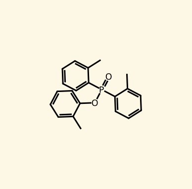 Cc1ccccc1OP(=O)(c1ccccc1C)c1ccccc1C